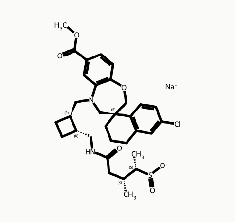 COC(=O)c1ccc2c(c1)N(C[C@@H]1CC[C@H]1CNC(=O)C[C@@H](C)[C@H](C)S(=O)[O-])C[C@@]1(CCCc3cc(Cl)ccc31)CO2.[Na+]